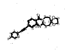 O=c1c2ccc(C#Cc3ccc(F)cn3)cc2nc2n1CCC1(CC2)OCCO1